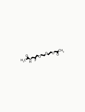 CC(=O)COCCOCCOCC(F)CNC(C)=O